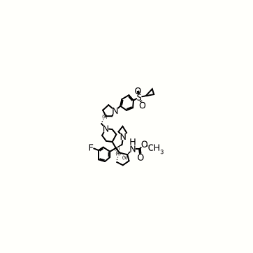 COC(=O)N[C@H]1CCC[C@@H]1[C@](CN1CCC1)(c1cccc(F)c1)C1CCN(C[C@@H]2CCN(c3ccc(S(=O)(=O)C4CC4)cc3)C2)CC1